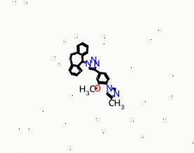 COc1cc(-c2cn(C3c4ccccc4CCc4ccccc43)nn2)ccc1-n1cnc(C)c1